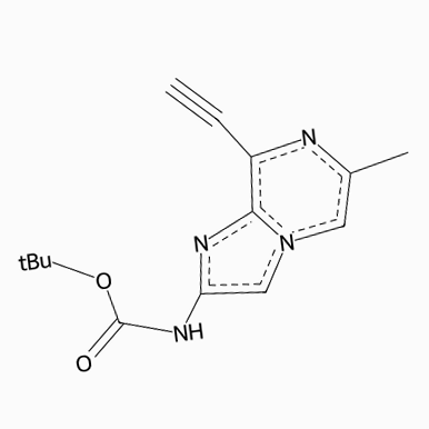 C#Cc1nc(C)cn2cc(NC(=O)OC(C)(C)C)nc12